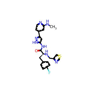 CNc1cc(-c2cc(NC(=O)[C@H](Cc3ccc(F)cc3)NCc3cscn3)[nH]n2)ccn1